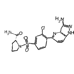 NC(=O)[C@H]1CCCN1S(=O)(=O)c1ccc(-c2ccc3[nH]nc(N)c3n2)c(Cl)c1